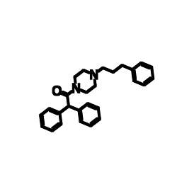 O=C(C(c1ccccc1)c1ccccc1)N1CCN(CCCc2ccccc2)CC1